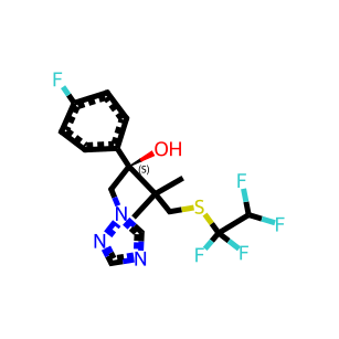 CC(C)(CSC(F)(F)C(F)F)[C@](O)(Cn1cncn1)c1ccc(F)cc1